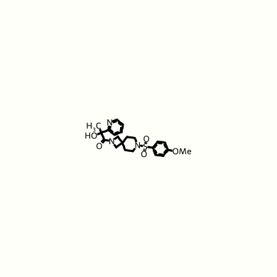 COc1ccc(S(=O)(=O)N2CCC3(CC2)CN(C(=O)C(C)(O)c2ccccn2)C3)cc1